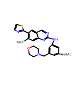 COc1cc2nc(Nc3cc(CN4CCOCC4)cc(NC(C)=O)c3)ncc2cc1-c1nccs1